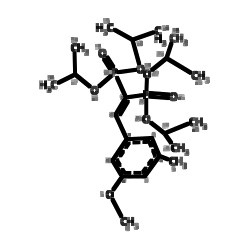 COc1cc(C)cc(C=C(P(=O)(OC(C)C)OC(C)C)P(=O)(OC(C)C)OC(C)C)c1